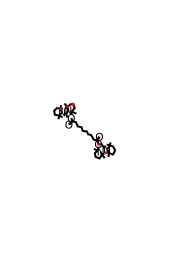 CC1(C)CCCC(C)(C)N1C(COC(=O)CCCCCCCCC(=O)OCC(N1C(C)(C)CCCC1(C)C)N1C(C)(C)CCCC1(C)C)N1C(C)(C)CCCC1(C)C